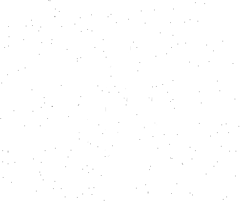 O=C(O)c1ccc(-n2cc(Cc3c(Cl)cccc3C(F)(F)F)c3cccnc32)cc1